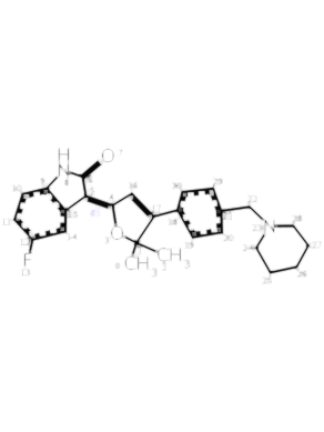 CC1(C)O/C(=C2/C(=O)Nc3ccc(F)cc32)C=C1c1ccc(CN2CCCCC2)cc1